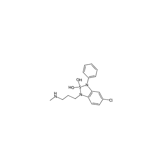 CNCCCN1c2ccc(Cl)cc2N(c2ccccc2)S1(O)O